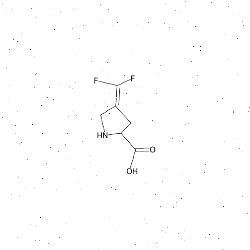 O=C(O)C1CC(=C(F)F)CN1